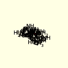 CC(C)C[C@@H]1CC(=O)[C@H](CCCCN)NC(=O)[C@H](CCCNC(=N)N)NC(=O)[C@@H](NC(=O)[C@@H]2CC(=O)CCCCC[C@H](CC(=O)[C@@H](NC(=O)[C@@H](CC(=O)CNC(=O)CCC(=O)CNCc3ccccc3)Cc3ccccc3)C(C)O)C(=O)N[C@@H](C)C(=O)C[C@@H](CCCNC(=N)N)C(=O)N[C@@H](CCCCN)C(=O)N2)CCCCNC(=O)C[C@@H](C(N)=O)NC1=O